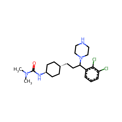 CN(C)C(=O)N[C@H]1CC[C@H](CCC(c2cccc(Cl)c2Cl)N2CCNCC2)CC1